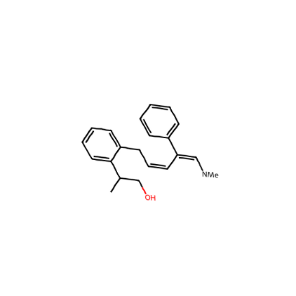 CN/C=C(\C=C/Cc1ccccc1C(C)CO)c1ccccc1